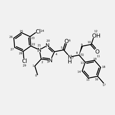 CCc1nc(C(=O)N[C@@H](CC(=O)O)c2ccc(C)cc2)nn1-c1c(Cl)cccc1Cl